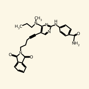 CCCN(C)c1nc(Nc2ccc(C(N)=O)cc2)ncc1C#CCCCN1C(=O)c2ccccc2C1=O